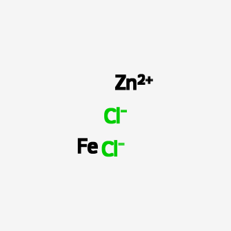 [Cl-].[Cl-].[Fe].[Zn+2]